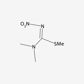 CSC(=N[N+](=O)[O-])N(C)C